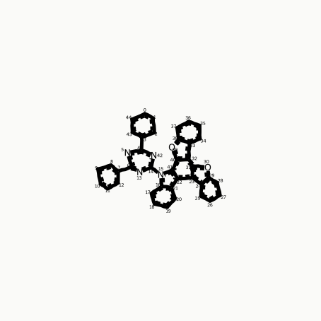 c1ccc(-c2nc(-c3ccccc3)nc(-n3c4ccccc4c4c5c6ccccc6oc5c5c6ccccc6oc5c43)n2)cc1